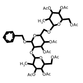 CC(=O)OCC1OC(OCC2OC(OCc3ccccc3)C(OC3OC(COC(C)=O)C(OC(C)=O)C(OC(C)=O)C3C)C(OC(C)=O)C2OC(C)=O)C(C)C(OC(C)=O)C1OC(C)=O